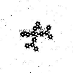 CC1(C)c2ccccc2-c2ccc(-c3cc(-c4ccc5c(c4)C(C)(C)c4ccccc4-5)c4nc(-c5ccc(-c6cc(-c7ccccc7)nc(-c7ccccc7)c6)cc5)nc(-c5ccc(-c6cc(-c7ccccc7)cc(-c7ccccc7)n6)cc5)c4c3)cc21